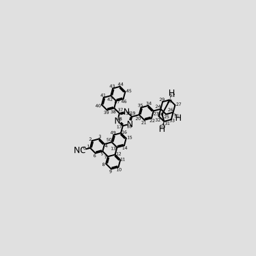 N#Cc1ccc2c(c1)c1ccccc1c1ccc(-c3nc(-c4ccc(C56C[C@H]7C[C@H](C5)C[C@@H](C6)C7)cc4)nc(-c4cccc5ccccc45)n3)cc12